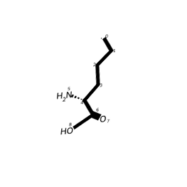 [CH2]CCC[C@@H](N)C(=O)O